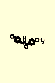 [CH2]c1ccc(C(=O)NCc2ccc(Cl)cc2)cc1